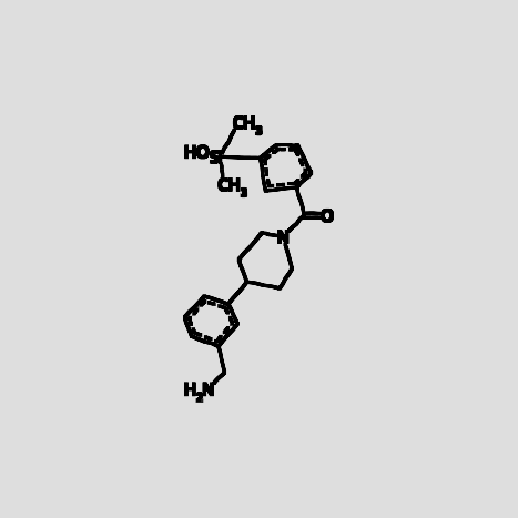 C[Si](C)(O)c1cccc(C(=O)N2CCC(c3cccc(CN)c3)CC2)c1